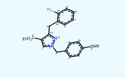 CCOC(=O)c1cn(Cc2ccc(OC)cc2)nc1Cc1ccccc1F